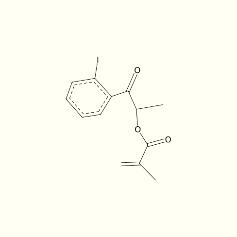 C=C(C)C(=O)OC(C)C(=O)c1ccccc1I